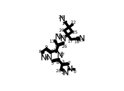 Cn1cc(-c2cn3nccc3c(-c3cnn(C4(CC#N)CC(C)(C#N)C4)c3)n2)cn1